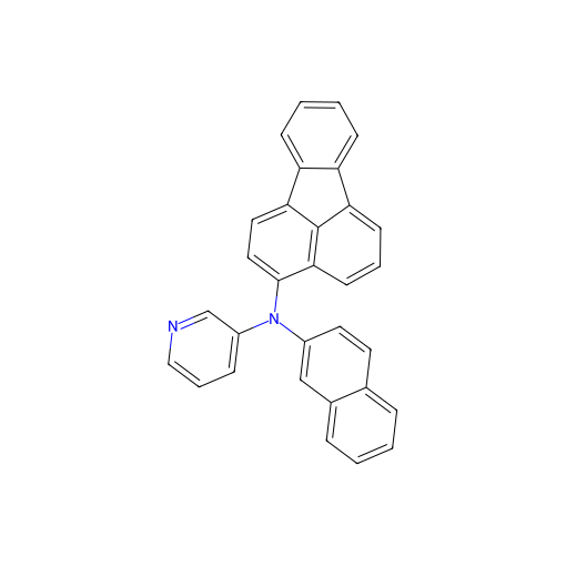 c1cncc(N(c2ccc3ccccc3c2)c2ccc3c4c(cccc24)-c2ccccc2-3)c1